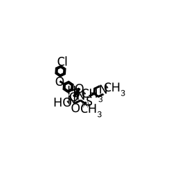 C[C@@H](SCC1CCN(C)CC1)C(C(=O)NO)N(C)S(=O)(=O)c1ccc(Oc2ccc(Cl)cc2)cc1